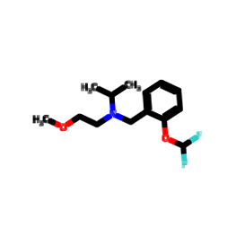 COCCN(Cc1ccccc1OC(F)F)C(C)C